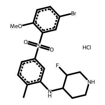 COc1ccc(Br)cc1S(=O)(=O)c1ccc(C)c(NC2CCNCC2F)c1.Cl